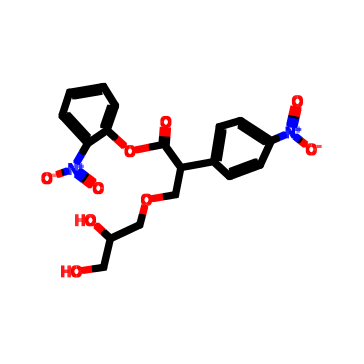 O=C(Oc1ccccc1[N+](=O)[O-])C(COCC(O)CO)c1ccc([N+](=O)[O-])cc1